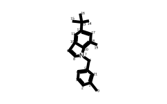 Cc1cccc(Cn2ccc3cc(C(C)(C)C)cc(C)c32)c1